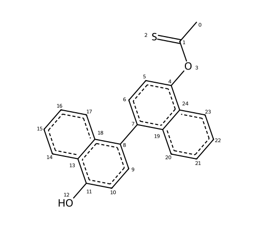 CC(=S)Oc1ccc(-c2ccc(O)c3ccccc23)c2ccccc12